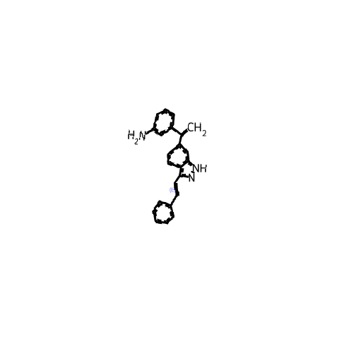 C=C(c1cccc(N)c1)c1ccc2c(/C=C/c3ccccc3)n[nH]c2c1